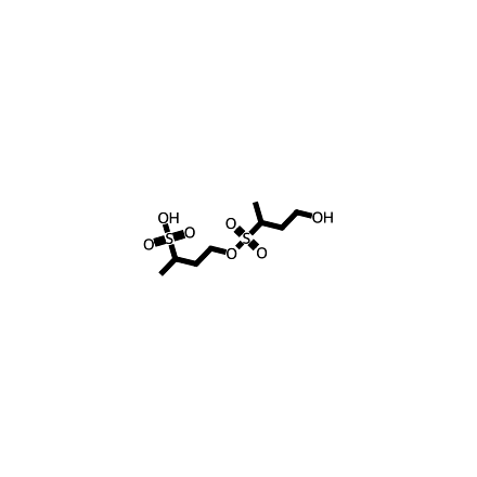 CC(CCOS(=O)(=O)C(C)CCO)S(=O)(=O)O